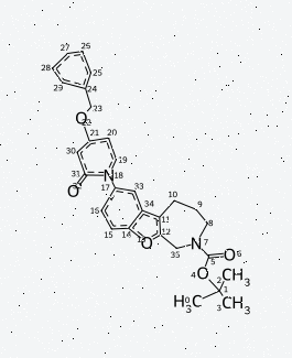 CC(C)(C)OC(=O)N1CCCc2c(oc3ccc(-n4ccc(OCc5ccccc5)cc4=O)cc23)C1